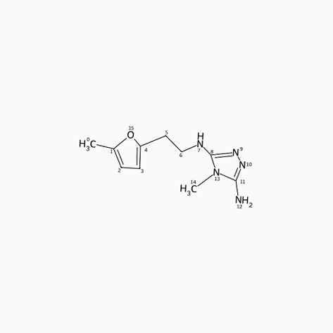 Cc1ccc(CCNc2nnc(N)n2C)o1